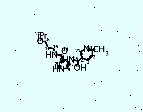 Cc1ccc(C(O)Nc2c[nH]nc2C(=O)NCCCOC(C)C)cn1